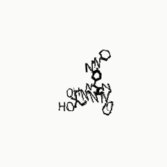 OCC1(CO)CCN(c2nc(-c3ccc4c(c3)ncn4C3CCCCC3)c3ncn(C4CCCCO4)c3n2)CC1